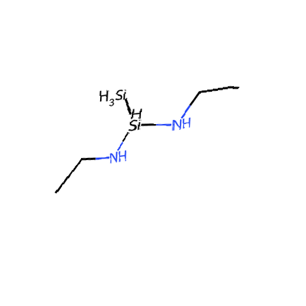 CCN[SiH]([SiH3])NCC